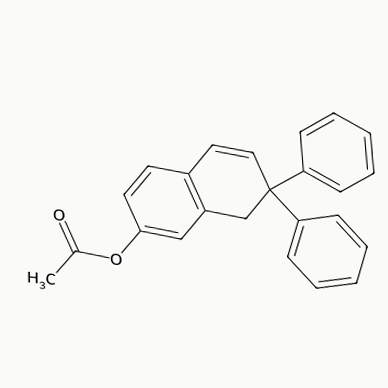 CC(=O)Oc1ccc2c(c1)CC(c1ccccc1)(c1ccccc1)C=C2